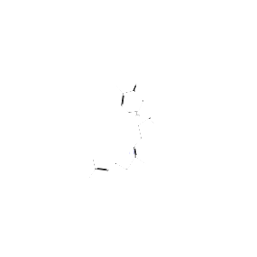 CC(C)=CCC/C(C)=C/CCC(C)(O)[C@@H]1CC=C(C)C(=O)C1